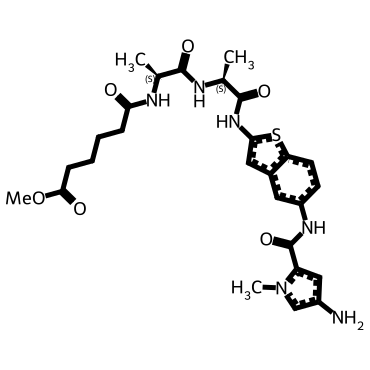 COC(=O)CCCCC(=O)N[C@@H](C)C(=O)N[C@@H](C)C(=O)Nc1cc2cc(NC(=O)c3cc(N)cn3C)ccc2s1